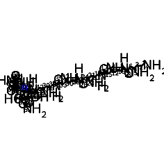 NCCCC(N)CC(=O)NCCCC(N)CC(=O)NCCCC(N)CC(=O)NCCCC(N)CC(=O)NCCCC(N)CC(=O)N[C@@H]1[C@H](O)[C@@H](OC(N)=O)[C@@H](CO)O[C@H]1/N=C1\N[C@@H]2[C@H](O)CNC(=O)[C@H]2N1